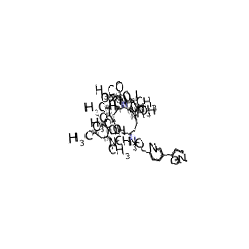 CC(=O)/N=C1\[C@H](C)C[C@@]2(C)OC/C(=N/OCc3ccc(-c4ccno4)cn3)CC[C@H]([C@H]1C)[C@](C)(O)[C@@H](I)OC(=O)[C@H](C)C(=O)[C@H](C)[C@H]2O[C@@H]1O[C@H](C)C[C@H](N(C)C)[C@H]1O